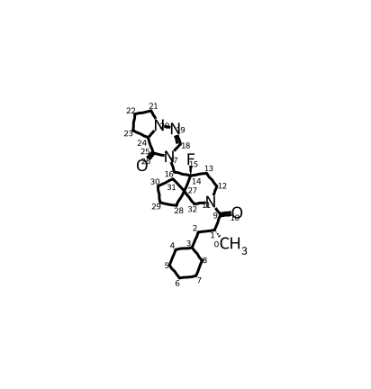 C[C@H](CC1CCCCC1)C(=O)N1CC[C@@](F)(CN2C=NN3CCCC3C2=O)C2(CCCC2)C1